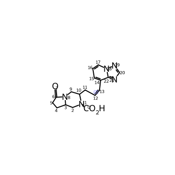 O=C(O)N1CC2CCC(=O)N2CC1C/C=C\c1cccn2ncnc12